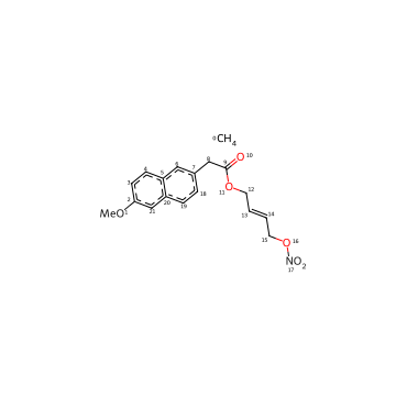 C.COc1ccc2cc(CC(=O)OCC=CCO[N+](=O)[O-])ccc2c1